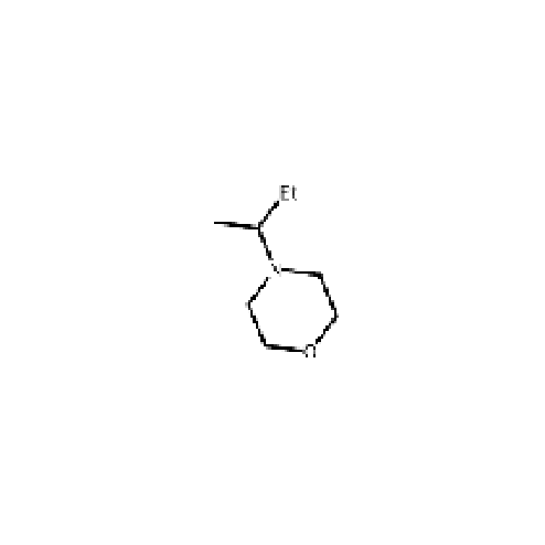 [CH2]C(CC)N1CCOCC1